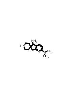 CN(C)c1ccc2c(n1)CC1(CCNCC1)C2N